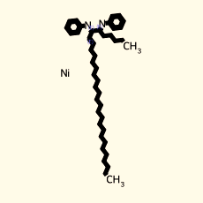 CCCCCCCCCCCCCCCCCCCCCC/C=C/C(=N\c1ccccc1)C(/CCCCC)=N/c1ccccc1.[Ni]